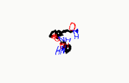 CNC(=O)CCC#Cc1cc2c(c(C(=O)N[C@@H](CO)Cc3c[nH]c4ccccc34)c1)OCCCC2